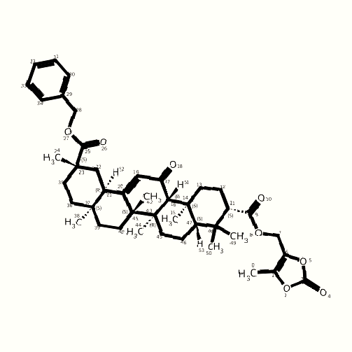 Cc1oc(=O)oc1COC(=O)[C@H]1CC[C@]2(C)[C@H]3C(=O)C=C4[C@@H]5C[C@@](C)(C(=O)OCc6ccccc6)CC[C@]5(C)CC[C@@]4(C)[C@]3(C)CC[C@H]2C1(C)C